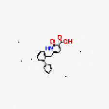 O=C(O)c1ccc(Cc2ccccc2-c2ccccc2)[nH]c1=O